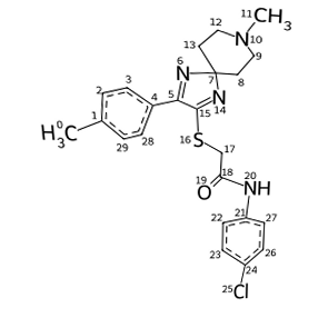 Cc1ccc(C2=NC3(CCN(C)CC3)N=C2SCC(=O)Nc2ccc(Cl)cc2)cc1